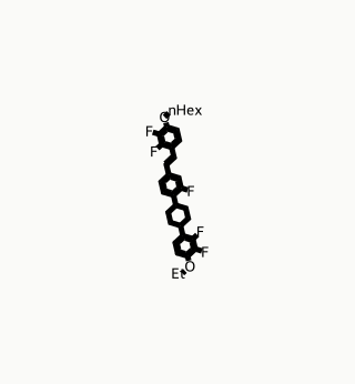 CCCCCCOc1ccc(/C=C/c2ccc(C3CCC(c4ccc(OCC)c(F)c4F)CC3)c(F)c2)c(F)c1F